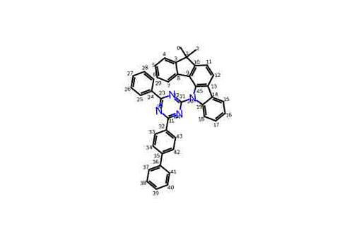 CC1(C)c2ccccc2-c2c1ccc1c3ccccc3n(-c3nc(-c4ccccc4)nc(-c4ccc(-c5ccccc5)cc4)n3)c21